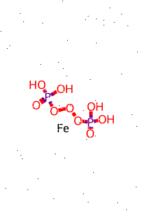 O=P(O)(O)OOOP(=O)(O)O.[Fe]